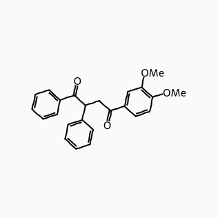 COc1ccc(C(=O)CC(C(=O)c2ccccc2)c2ccccc2)cc1OC